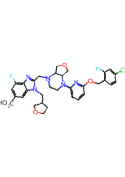 O=C(O)c1cc(F)c2nc(CN3CCN(c4cccc(OCc5ccc(Cl)cc5F)n4)C4COCC43)n(CC3CCOC3)c2c1